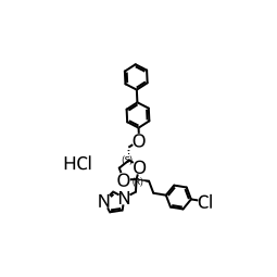 Cl.Clc1ccc(CC[C@@]2(Cn3ccnc3)OC[C@H](COc3ccc(-c4ccccc4)cc3)O2)cc1